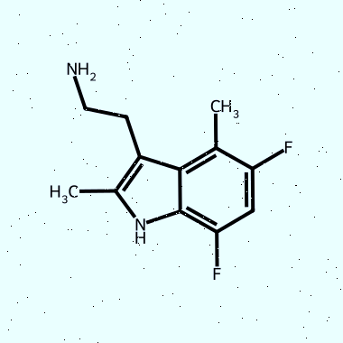 Cc1[nH]c2c(F)cc(F)c(C)c2c1CCN